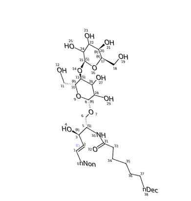 CCCCCCCCC/C=C/[C@@H](O)[C@H](CO[C@@H]1O[C@H](CO)[C@@H](O[C@@H]2O[C@H](CO)[C@H](O)C(O)C2O)C(O)C1O)NC(=O)CCCCCCCCCCCCCCC